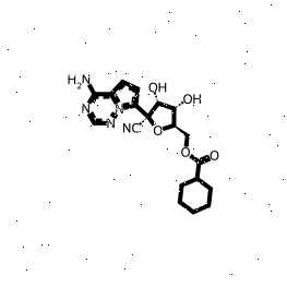 N#C[C@@]1(c2ccc3c(N)ncnn23)O[C@H](COC(=O)C2CCCCC2)[C@@H](O)[C@H]1O